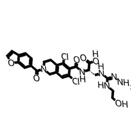 N/N=C(\NCCO)NC[C@H](NC(=O)c1c(Cl)cc2c(c1Cl)CCN(C(=O)c1ccc3ccoc3c1)C2)C(=O)O